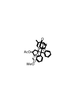 COOC[C@H]1O[C@](n2cc(C)c(=O)[nH]c2=O)(C(c2ccccc2)(c2ccccc2)c2ccccc2)C[C@@H]1OC(C)=O